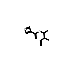 C=CC(C)C(C)OC(=C)C1=CP=C1